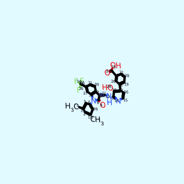 Cc1cc(C)cc(N2C(=O)/C(=C\Nc3nccc(-c4cccc(C(=O)O)c4)c3O)c3ccc(C(F)(F)F)cc32)c1